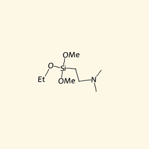 CCO[Si](CCN(C)C)(OC)OC